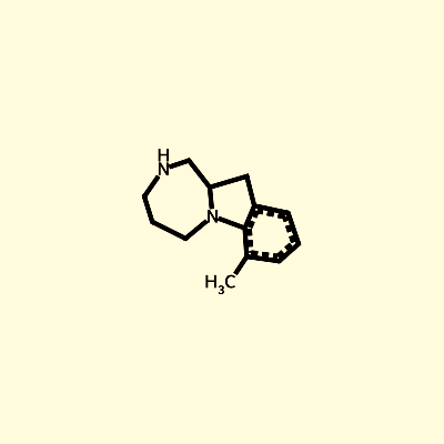 Cc1cccc2c1N1CCCNCC1C2